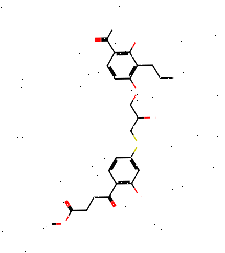 CCCc1c(OCC(O)CSc2ccc(C(=O)CCC(=O)OC)c(O)c2)ccc(C(C)=O)c1O